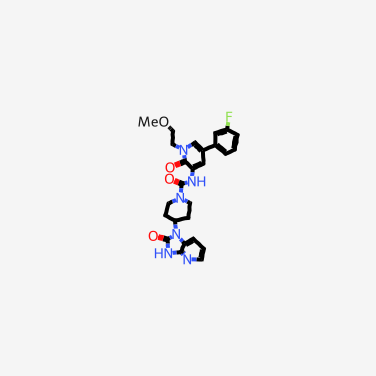 COCCn1cc(-c2cccc(F)c2)cc(NC(=O)N2CCC(n3c(=O)[nH]c4ncccc43)CC2)c1=O